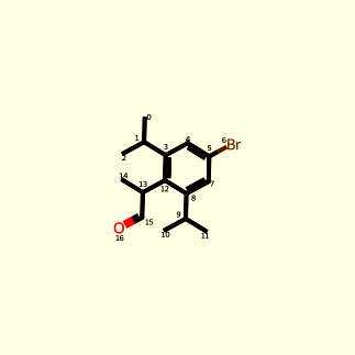 CC(C)c1cc(Br)cc(C(C)C)c1C(C)C=O